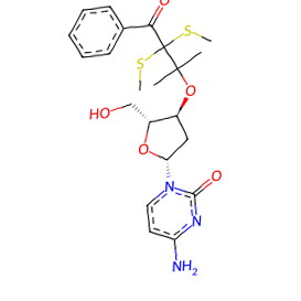 CSC(SC)(C(=O)c1ccccc1)C(C)(C)O[C@H]1C[C@H](n2ccc(N)nc2=O)O[C@@H]1CO